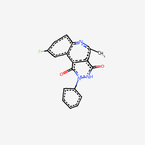 Cc1nc2ccc(F)cc2c2c(=O)n(-c3ccccc3)[nH]c(=O)c12